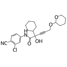 N#Cc1ccc(NC(=O)C(O)(C#CCOC2CCCCO2)C2CCCCC2)cc1Cl